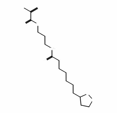 C=C(C)C(=O)OCCCNC(=O)CCCCCCC1CCSS1